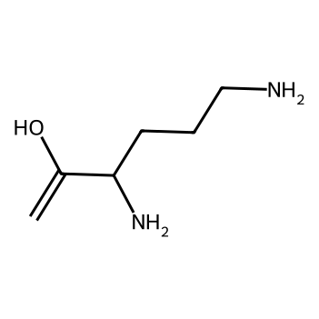 C=C(O)C(N)CCCN